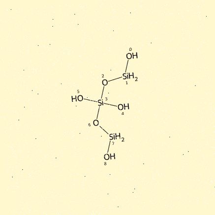 O[SiH2]O[Si](O)(O)O[SiH2]O